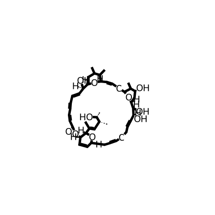 C/C(=C\[C@@H](C)[C@@H](C)O)[C@@H]1O[C@@H]2C=C[C@@H]1OC(=O)\C=C/C=C\C=C\[C@@H](O)[C@@H]1CC(C)C(C)[C@H](/C=C/CC3O[C@H](C[C@H](O)C3C)[C@H](O)[C@@H](O)/C=C/CC/C=C/C2)O1